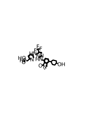 CN1Cc2c(C3CCC(O)CC3)ccc(Nc3ncc(C(F)(F)F)c(Nc4ccc(C[PH](=O)O)nc4)n3)c2C1=O